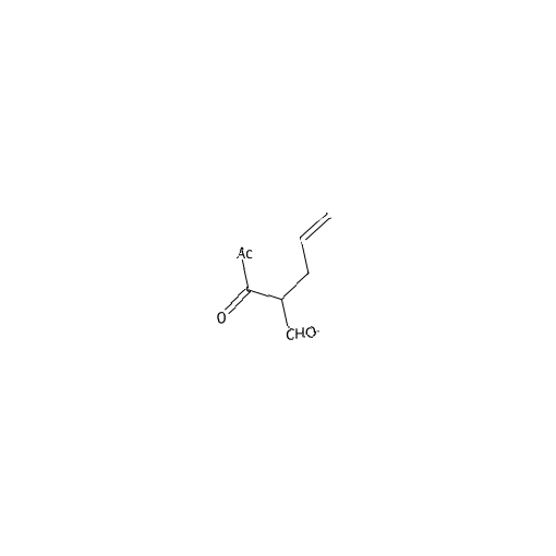 C=CCC([C]=O)C(=O)C(C)=O